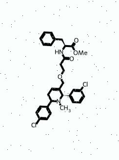 COC(=O)[C@H](Cc1ccccc1)NC(=O)CCOCC1=CCC(c2ccc(Cl)cc2)N(C)[C@H]1c1cccc(Cl)c1